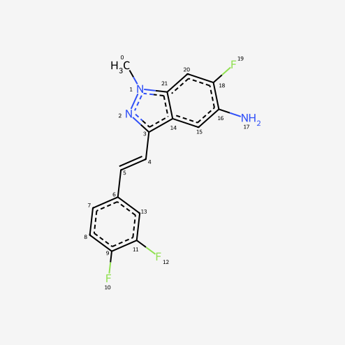 Cn1nc(/C=C/c2ccc(F)c(F)c2)c2cc(N)c(F)cc21